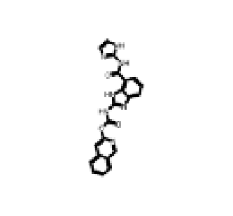 O=C(Nc1nc2cccc(C(=O)Nc3ncc[nH]3)c2[nH]1)Oc1cc2ccccc2cn1